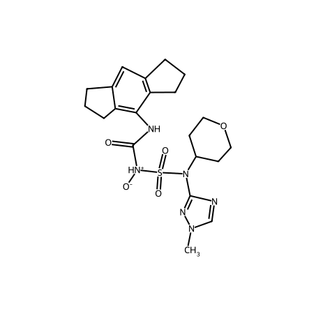 Cn1cnc(N(C2CCOCC2)S(=O)(=O)[NH+]([O-])C(=O)Nc2c3c(cc4c2CCC4)CCC3)n1